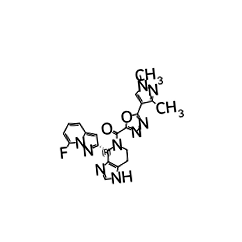 Cc1nn(C)cc1-c1nnc(C(=O)N2CCc3[nH]cnc3[C@@H]2c2cc3cccc(F)n3n2)o1